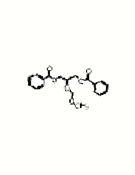 COCOC(COC(=O)c1ccccc1)COC(=O)c1ccccc1